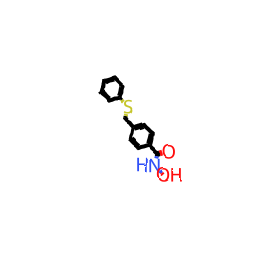 O=C(NO)c1ccc(CSc2ccccc2)cc1